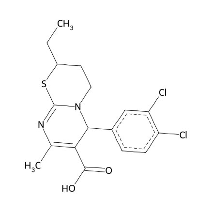 CCC1CCN2C(=NC(C)=C(C(=O)O)C2c2ccc(Cl)c(Cl)c2)S1